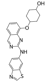 OC1CCC(Oc2cccc3cnc(Nc4ccc5ncsc5c4)nc23)CC1